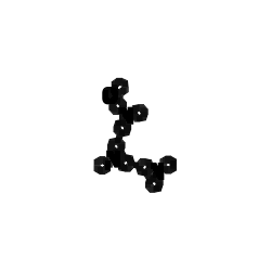 c1ccc(N(c2ccc(-c3ccc4c(c3)c3cc(-c5ccc6c(c5)c5ccccc5n6-c5ccccc5)ccc3n4-c3ccccc3)cc2)c2ccc3oc4ccccc4c3c2)cc1